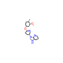 COc1cc(Oc2ccc(N3CNc4cccnc43)cn2)ccc1C